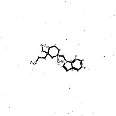 CC(=O)OCCC1(C[N+](=O)[O-])CCC[C@](C)(Cn2ccc3cncnc32)C1